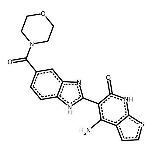 Nc1c(-c2nc3cc(C(=O)N4CCOCC4)ccc3[nH]2)c(=O)[nH]c2sccc12